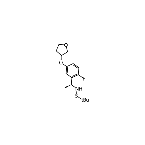 C[C@H](NSC(C)(C)C)c1cc(O[C@@H]2CCOC2)ccc1F